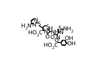 Nc1ccnc(SCC2=C(C(=O)O)N3C(=O)C(NC(=O)/C(=N\OC(C(=O)O)c4ccc(O)c(O)c4)c4csc(N)n4)[C@@H]3SC2)n1